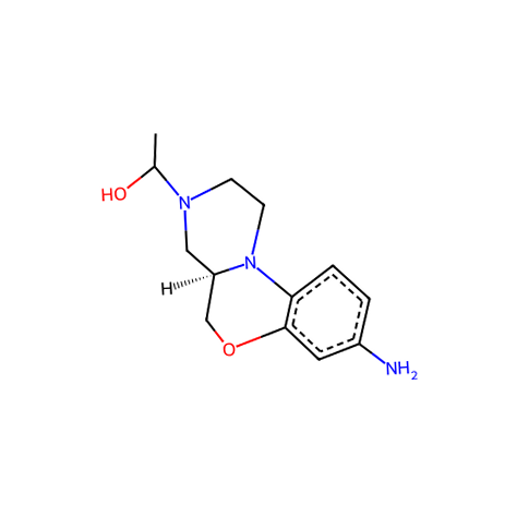 CC(O)N1CCN2c3ccc(N)cc3OC[C@H]2C1